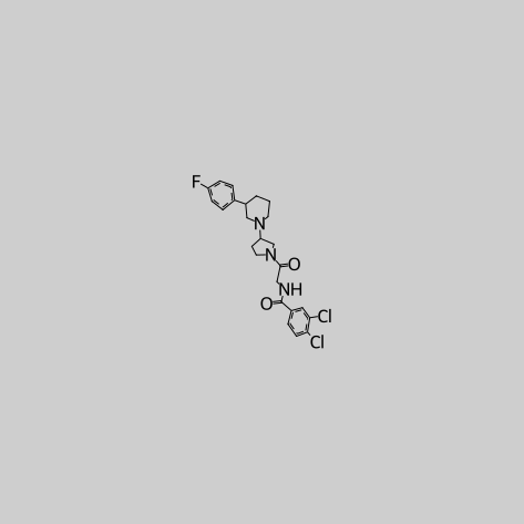 O=C(NCC(=O)N1CCC(N2CCCC(c3ccc(F)cc3)C2)C1)c1ccc(Cl)c(Cl)c1